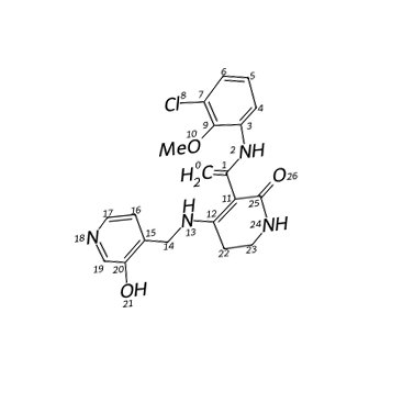 C=C(Nc1cccc(Cl)c1OC)C1=C(NCc2ccncc2O)CCNC1=O